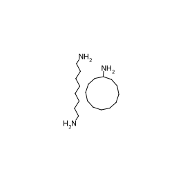 NC1CCCCCCCCCCC1.NCCCCCCCCN